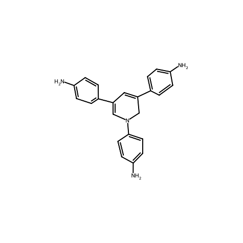 Nc1ccc(C2=CN(c3ccc(N)cc3)CC(c3ccc(N)cc3)=C2)cc1